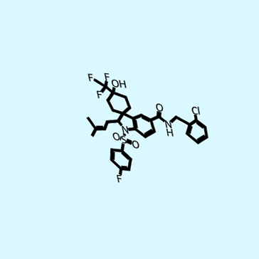 CC(C)=CCC1N(S(=O)(=O)c2ccc(F)cc2)c2ccc(C(=O)NCc3ccccc3Cl)cc2C12CCC(O)(C(F)(F)F)CC2